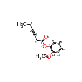 CCC#CCC(=O)Oc1ccccc1OC